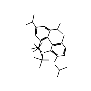 Cc1ccc(OC(C)C)c(P(C(C)(C)C)C(C)(C)C)c1-c1c(C(C)C)cc(C(C)C)cc1C(C)C